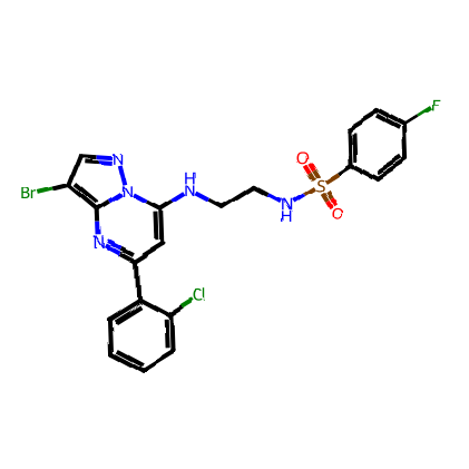 O=S(=O)(NCCNc1cc(-c2ccccc2Cl)nc2c(Br)cnn12)c1ccc(F)cc1